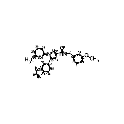 COc1cccc(CNC(=O)c2cc(-c3ccc4ncnn4c3)n(-c3cccc(C)n3)n2)c1